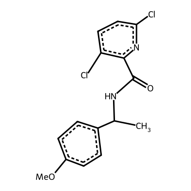 COc1ccc(C(C)NC(=O)c2nc(Cl)ccc2Cl)cc1